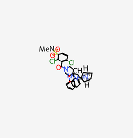 CNS(=O)(=O)c1ccc(Cl)c(C(=O)N2CCC(CCN3[C@@H]4CC[C@H]3C[C@@H](n3c(C)nc5ccccc53)C4)(c3ccccc3)CC2)c1Cl